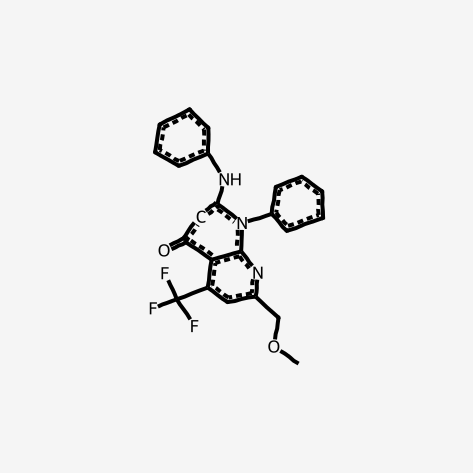 COCc1cc(C(F)(F)F)c2c(=O)cc(Nc3ccccc3)n(-c3ccccc3)c2n1